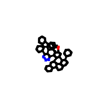 Cc1cc2c(c(-c3c(-c4ccccc4)nnnc3-c3c(-c4cc5ccccc5c5ccccc45)c(-c4ccccc4-c4ccccc4)cc4oc5ccccc5c34)c1C)Cc1ccccc1-2